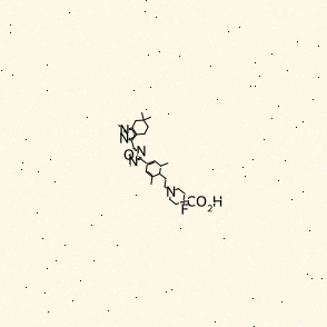 CC1=CC(c2noc(-c3nn(C)c4c3CCC(C)(C)C4)n2)=CC(C)C1CCN1CCC(F)(C(=O)O)CC1